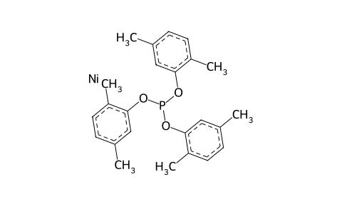 Cc1ccc(C)c(OP(Oc2cc(C)ccc2C)Oc2cc(C)ccc2C)c1.[Ni]